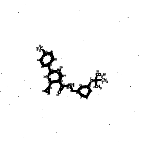 CC(C)(Oc1cccc(CNC(=O)c2cnc(-c3ccc(C(F)(F)F)cc3)nc2C2CC2)c1)C(=O)O